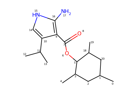 CC1CC(C)C(OC(=O)c2c(C(C)C)c[nH]c2N)C(C)C1